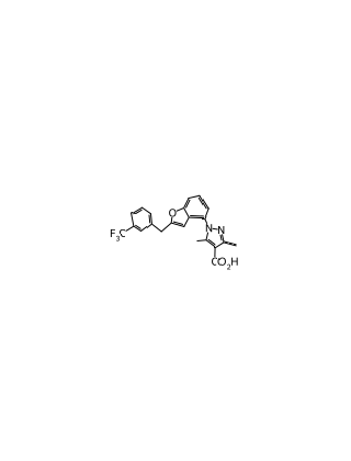 Cc1nn(-c2cccc3oc(Cc4cccc(C(F)(F)F)c4)cc23)c(C)c1C(=O)O